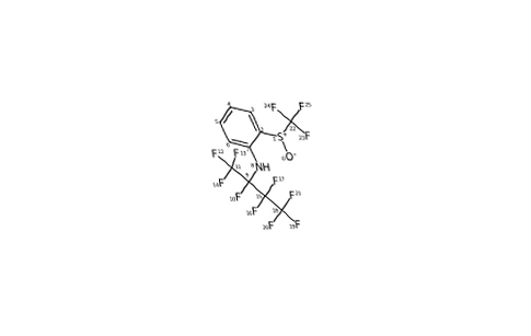 [O-][S+](c1ccccc1NC(F)(C(F)(F)F)C(F)(F)C(F)(F)F)C(F)(F)F